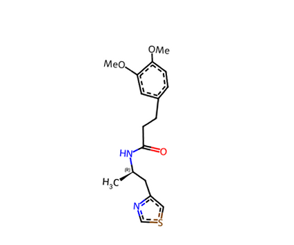 COc1ccc(CCC(=O)N[C@H](C)Cc2cscn2)cc1OC